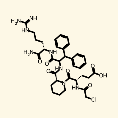 N=C(N)NCCC[C@H](NC(=O)C(NC(=O)[C@@H]1CCCCN1C(=O)[C@H](CCC(=O)O)NC(=O)CCl)C(c1ccccc1)c1ccccc1)C(N)=O